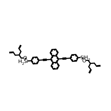 C=CCC(CC=C)CO[SiH2]c1ccc(C#Cc2c3ccccc3c(C#Cc3ccc([SiH2]OCC(CC=C)CC=C)cc3)c3ccccc23)cc1